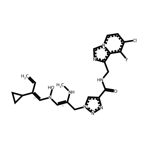 C=C/C(=C\N(O)/C=C(/Cn1cc(C(=O)NCc2ncn3ccc(Cl)c(F)c23)nn1)NC)C1CC1